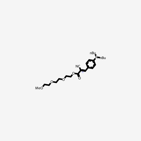 CCCCN(CCCC)c1ccc(/C=C(\C#N)C(=O)OCCOCCOCCOC)cc1